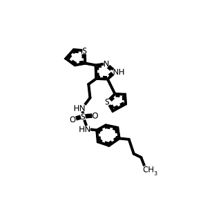 CCCCc1ccc(NS(=O)(=O)NCCc2c(-c3cccs3)n[nH]c2-c2cccs2)cc1